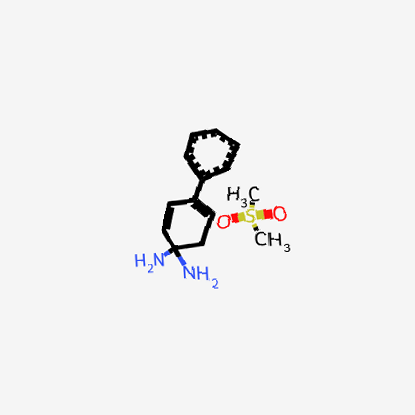 CS(C)(=O)=O.NC1(N)C=CC(c2ccccc2)=CC1